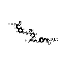 CCOC(=O)[C@H](Cc1ccc(OCCN(C)c2cccc(N(C)CCOc3ccc(C[C@H](OCC)C(=O)O)cc3)n2)cc1)OCC